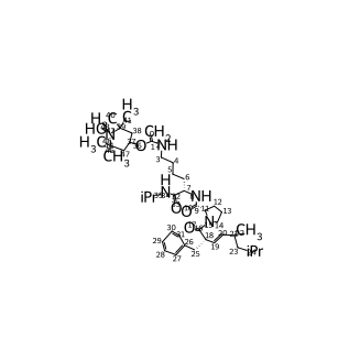 C=C(NCCCC[C@H](NC(=O)[C@@H]1CCCN1C(=O)[C@H](/C=C/[C@@H](C)CC(C)C)Cc1ccccc1)C(=O)NC(C)C)OC1CC(C)(C)N(O)C(C)(C)C1